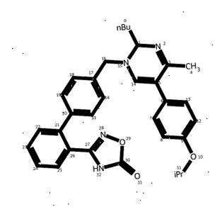 CCCCC1N=C(C)C(c2ccc(OC(C)C)cc2)=CN1Cc1ccc(-c2ccccc2-c2noc(=O)[nH]2)cc1